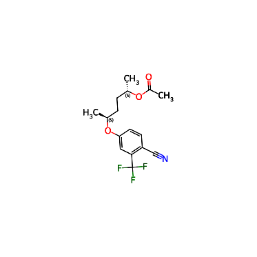 CC(=O)O[C@@H](C)CC[C@H](C)Oc1ccc(C#N)c(C(F)(F)F)c1